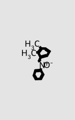 Cc1cccc(C=[N+]([O-])c2ccccc2)c1C